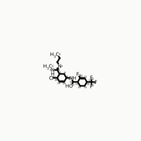 CCC/N=C(\NC)C1CC(NC(O)C2CCC(C(F)(F)F)C=C2F)C=CC1Cl